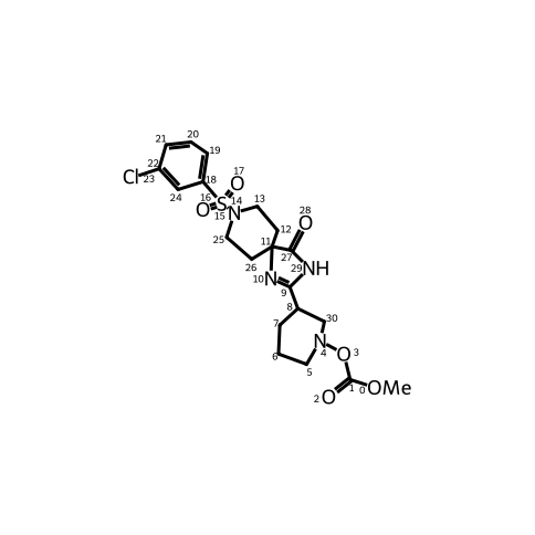 COC(=O)ON1CCCC(C2=NC3(CCN(S(=O)(=O)c4cccc(Cl)c4)CC3)C(=O)N2)C1